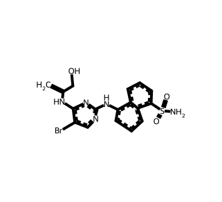 C=C(CO)Nc1nc(Nc2cccc3c(S(N)(=O)=O)cccc23)ncc1Br